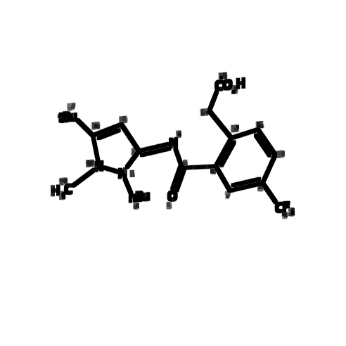 CCCCn1c(=NC(=O)c2cc(C(F)(F)F)ccc2CC(=O)O)cc(C(C)(C)C)n1C